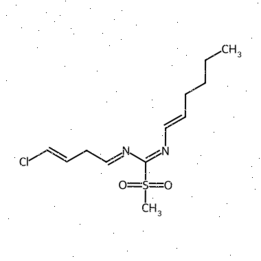 CCCC/C=C/N=C(\N=C\C/C=C/Cl)S(C)(=O)=O